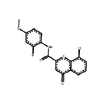 COc1ccc(NC(=O)c2cc(=O)c3cccc(Cl)c3o2)c(F)c1